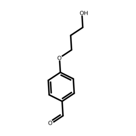 O=Cc1ccc(OCCCO)cc1